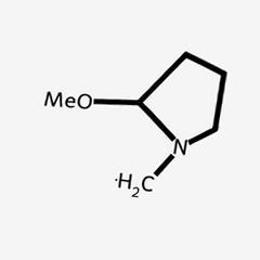 [CH2]N1CCCC1OC